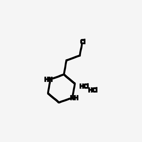 Cl.Cl.ClCCC1CNCCN1